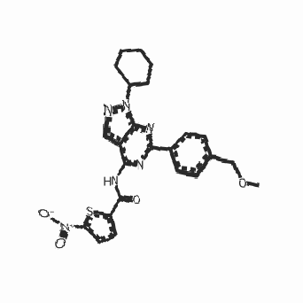 COCc1ccc(-c2nc(NC(=O)c3ccc([N+](=O)[O-])s3)c3cnn(C4CCCCC4)c3n2)cc1